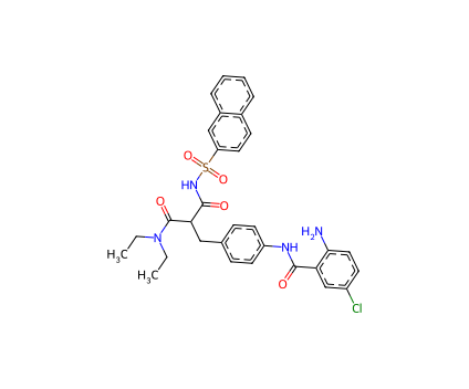 CCN(CC)C(=O)C(Cc1ccc(NC(=O)c2cc(Cl)ccc2N)cc1)C(=O)NS(=O)(=O)c1ccc2ccccc2c1